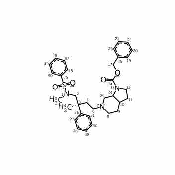 CN(C[C@@](C)(CCN1CCC2CCN(C(=O)OCc3ccccc3)C2C1)c1ccccc1)S(=O)(=O)c1ccccc1